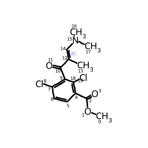 COC(=O)c1ccc(Cl)c(C(=O)/C(C)=C/N(C)C)c1Cl